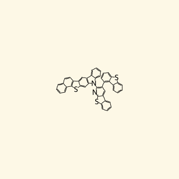 c1ccc2c(c1)ccc1c3cc4c5ccccc5n(-c5nc6sc7ccccc7c6cc5-c5cccc6sc7ccccc7c56)c4cc3sc21